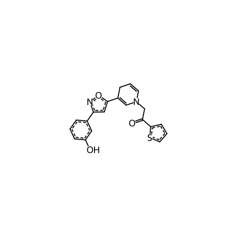 O=C(CN1C=CCC(c2cc(-c3cccc(O)c3)no2)=C1)c1cccs1